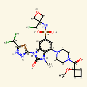 COC1(C(=O)N2CCN(c3cc(S(=O)(=O)NC4(CF)COC4)cc4c3n(C)c(=O)n4-c3nnc(C(F)F)s3)CC2)CCC1